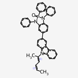 C/C=C\C=C(/C)n1c2ccccc2c2cc(-c3ccc4c(c3)N(c3ccccc3)P(=O)(c3ccccc3)N4c3ccccc3)ccc21